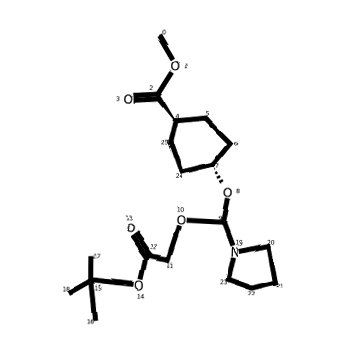 COC(=O)[C@H]1CC[C@H](OC(OCC(=O)OC(C)(C)C)N2CCCC2)CC1